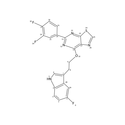 Fc1ccc2[nH]cc(CCOc3nc(-c4ccc(F)c(F)c4)nc4scnc34)c2c1